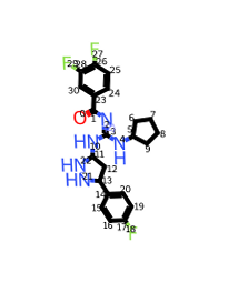 O=C(/N=C(/NC1CCCC1)NC1CC(c2ccc(F)cc2)NN1)c1ccc(F)c(F)c1